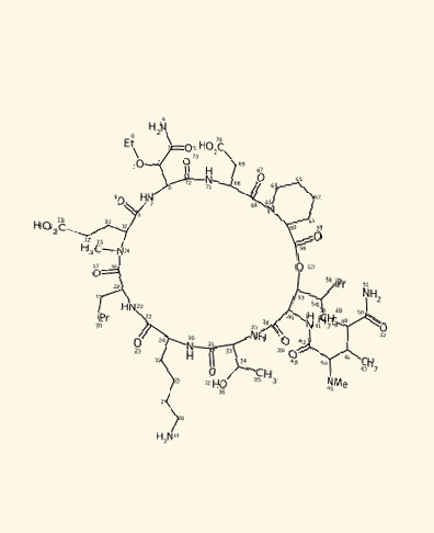 CCOC(C(N)=O)C1NC(=O)C(CCC(=O)O)N(C)C(=O)C(CC(C)C)NC(=O)C(CCCCN)NC(=O)C(C(C)O)NC(=O)C(NC(=O)C(NC)C(C)C(C)C(N)=O)C(C(C)C(C)C)OC(=O)C2CCCCN2C(=O)C(CC(=O)O)NC1=O